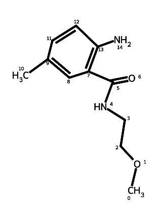 COCCNC(=O)c1cc(C)ccc1N